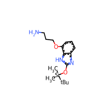 CC(C)(C)[Si](C)(C)Oc1nc2cccc(OCCCN)c2[nH]1